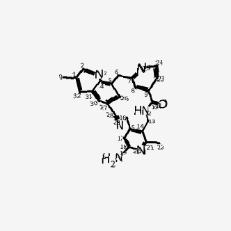 Cc1cnc2c(Cc3cc(C(=O)NCc4c(C)cc(N)nc4C)ccn3)cc(C#N)cc2c1